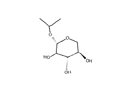 CC(C)O[C@@H]1OC[C@@H](O)[C@H](O)C1O